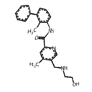 Cc1cc(C(=O)Nc2cccc(-c3ccccc3)c2C)ncc1CNCCO